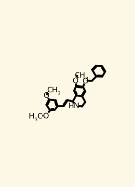 COc1cc(C=CC2NCCc3cc(OCc4ccccc4)c(OC)cc32)cc(OC)c1